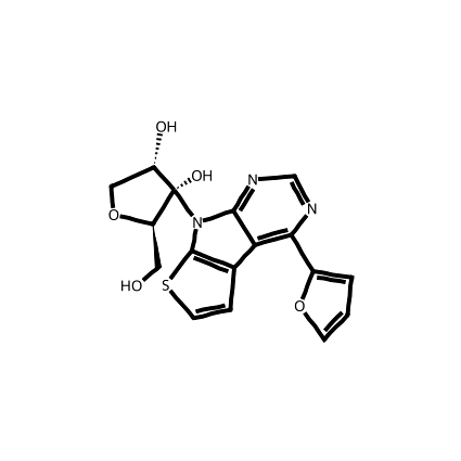 OC[C@H]1OC[C@H](O)[C@@]1(O)n1c2ncnc(-c3ccco3)c2c2ccsc21